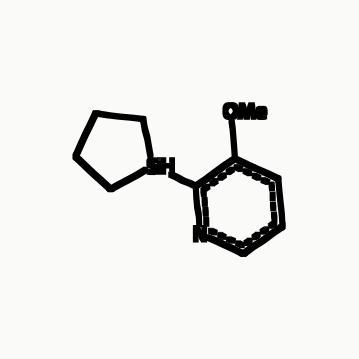 COc1cccnc1[SiH]1CCCC1